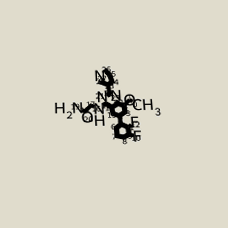 COc1cc(-c2cccc(F)c2F)cc2c(NCC(N)=O)nc(-c3cccnc3)nc12